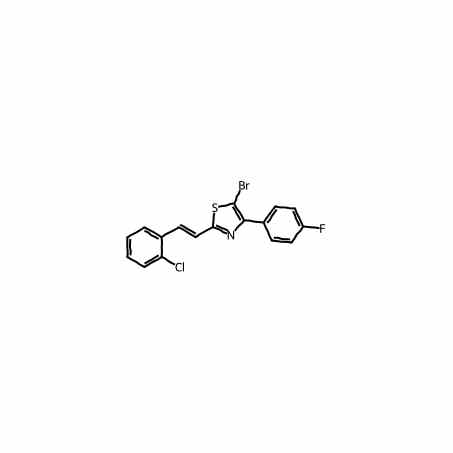 Fc1ccc(-c2nc(C=Cc3ccccc3Cl)sc2Br)cc1